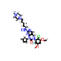 CCOc1cc(OC)c(F)c(N2Cc3cnc(NCCCCCN4CCN(C)CC4)nc3N(C3CCCC3)C2=O)c1Cl